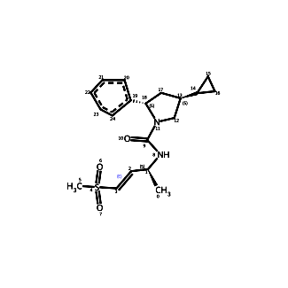 C[C@@H](/C=C/S(C)(=O)=O)NC(=O)N1C[C@H](C2CC2)C[C@H]1c1ccccc1